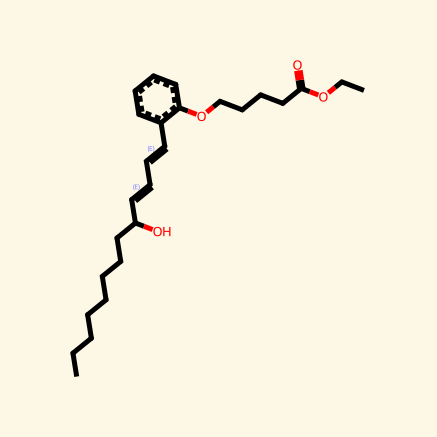 CCCCCCCCC(O)/C=C/C=C/c1ccccc1OCCCCC(=O)OCC